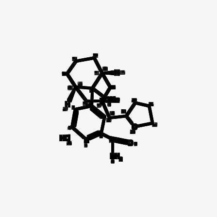 COC1(c2ccnc(C(N)=O)c2)[C@@H]2CCC[C@H]1CN(CC1CCCO1)C2.Cl